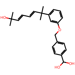 CC(C)(O)C=CC=CC(C)(C)c1cccc(OCc2ccc(C(O)O)cc2)c1